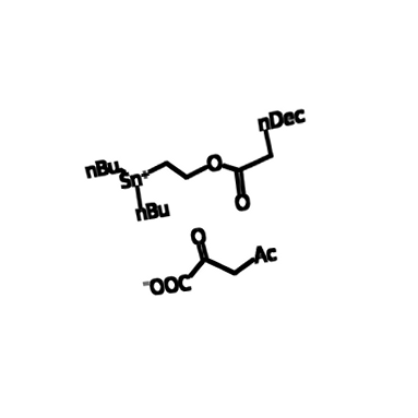 CC(=O)CC(=O)C(=O)[O-].CCCCCCCCCCCC(=O)OC[CH2][Sn+]([CH2]CCC)[CH2]CCC